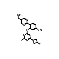 Cc1nc(Oc2cc(C#N)ccc2-c2ncc(CN)cn2)cc(N2CC(F)C2)n1